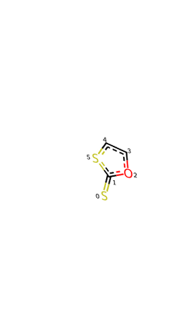 S=c1occs1